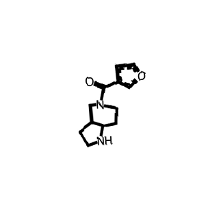 O=C(c1ccoc1)N1CCC2NCCC2C1